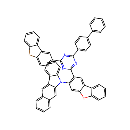 c1ccc(-c2ccc(-c3nc(-c4ccc5sc6ccccc6c5c4)nc(-c4cc5c(cc4-n4c6ccccc6c6cc7ccccc7cc64)oc4ccccc45)n3)cc2)cc1